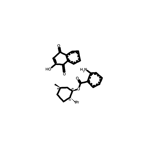 CC(C)[C@@H]1CC[C@@H](C)C[C@H]1OC(=O)c1ccccc1N.O=C1C=C(O)C(=O)c2ccccc21